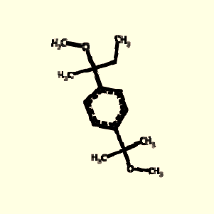 CCC(C)(OC)c1ccc(C(C)(C)OC)cc1